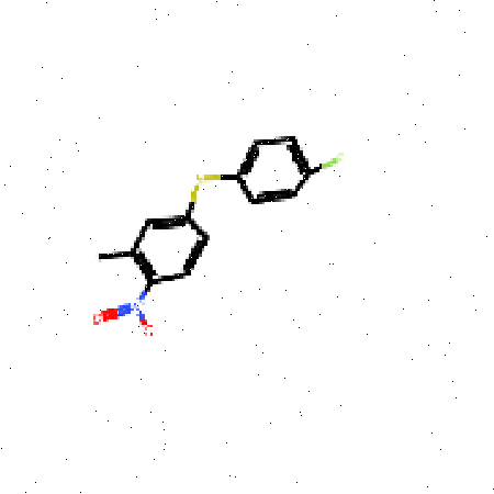 Cc1cc(Sc2ccc(F)cc2)ccc1[N+](=O)[O-]